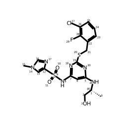 C[C@H](CO)Nc1cc(NS(=O)(=O)c2cn(C)cn2)nc(SCc2cccc(Cl)c2F)n1